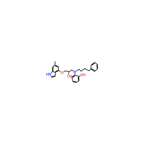 Cc1cc(OCC(O)CN(CCCCc2ccccc2)c2ccccc2O)c2cc[nH]c2c1